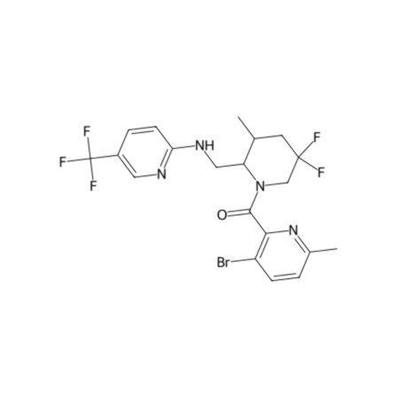 Cc1ccc(Br)c(C(=O)N2CC(F)(F)CC(C)C2CNc2ccc(C(F)(F)F)cn2)n1